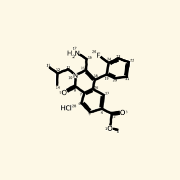 COC(=O)c1ccc2c(=O)n(CC(C)C)c(CN)c(-c3ccccc3F)c2c1.Cl